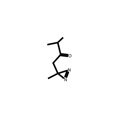 CC(C)C(=O)CC1(C)N=N1